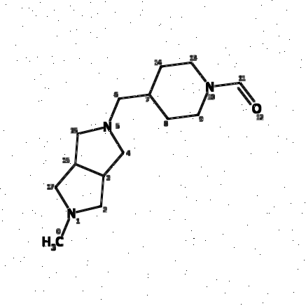 CN1CC2CN(CC3CCN(C=O)CC3)CC2C1